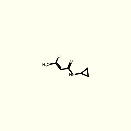 CC(Cl)=CC(=O)NC1CC1